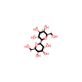 OC[C@H]1O[C]([C@@H]2O[C@H](CO)[C@@H](O)[C@H](O)[C@H]2O)[C@H](O)[C@@H](O)[C@H]1O